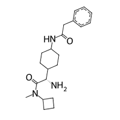 CN(C(=O)[C@@H](N)C1CCC(NC(=O)Cc2ccccc2)CC1)C1CCC1